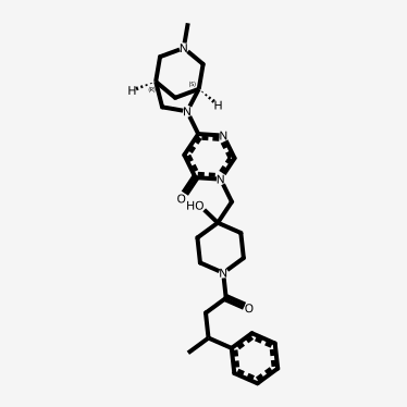 CC(CC(=O)N1CCC(O)(Cn2cnc(N3C[C@@H]4C[C@H]3CN(C)C4)cc2=O)CC1)c1ccccc1